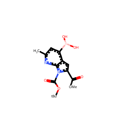 COC(=O)c1cc2c(B(O)O)cc(C)nc2n1C(=O)OC(C)(C)C